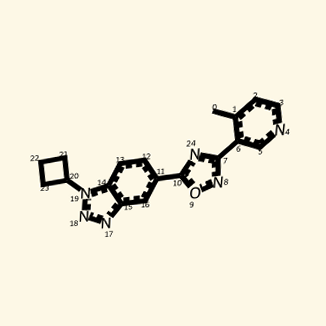 Cc1ccncc1-c1noc(-c2ccc3c(c2)nnn3C2CCC2)n1